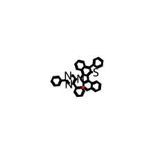 c1ccc(-c2ncc(-n3c4ccc5ccccc5c4c4c5sc6ccccc6c5c5ccccc5c43)c(-c3ccccc3)n2)cc1